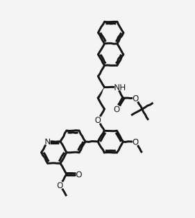 COC(=O)c1ccnc2ccc(-c3ccc(OC)cc3OCC[C@@H](Cc3ccc4ccccc4c3)NC(=O)OC(C)(C)C)cc12